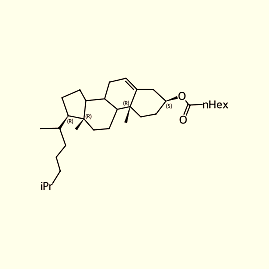 CCCCCCC(=O)O[C@H]1CC[C@@]2(C)C(=CCC3C2CC[C@@]2(C)C3CC[C@@H]2C(C)CCCC(C)C)C1